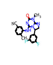 Cc1ccc(C#N)cc1NC1=NC(=O)N(C)C2=NCC(c3cc(F)cc(F)c3)N12